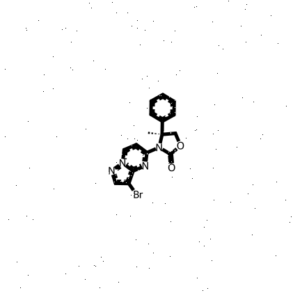 C[C@]1(c2ccccc2)COC(=O)N1c1ccn2ncc(Br)c2n1